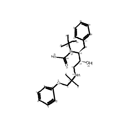 CC(C)(COc1ccccc1)NC[C@@H](O)[C@H](Cc1ccccc1)N(C(=O)O)C(C)(C)C